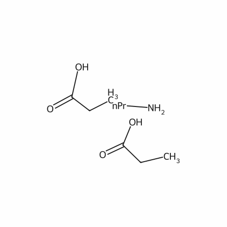 CCC(=O)O.CCC(=O)O.CCCN